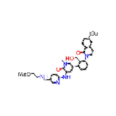 COCCNCc1ccc(Nc2cc(-c3cccc(-n4ccc5cc(C(C)(C)C)ccc5c4=O)c3CO)cn(C)c2=O)nc1